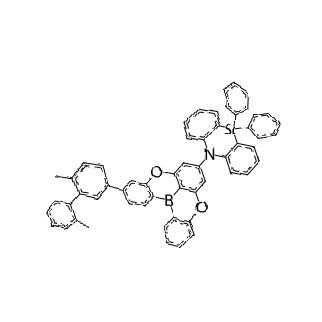 Cc1ccccc1-c1cc(-c2ccc3c(c2)Oc2cc(N4c5ccccc5[Si](c5ccccc5)(c5ccccc5)c5ccccc54)cc4c2B3c2ccccc2O4)ccc1C